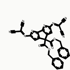 N#CC(C#N)=Nc1cc2c(s1)-c1sc(N=C(C#N)C#N)cc1C2(C(=O)OCc1ccccc1)C(=O)OCc1ccccc1